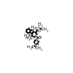 CC(C)OC(=O)C1=CN(C(=O)N2CCN(C(C)C)CC2)CC(C)(C)c2c1[nH]c1ccccc21